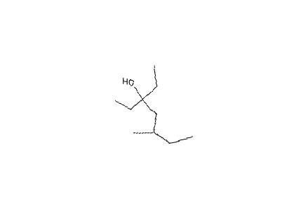 CCC(C)CC(O)(CC)CC